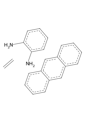 C=C.Nc1ccccc1N.c1ccc2cc3ccccc3cc2c1